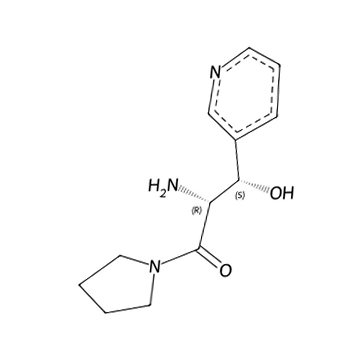 N[C@@H](C(=O)N1CCCC1)[C@@H](O)c1cccnc1